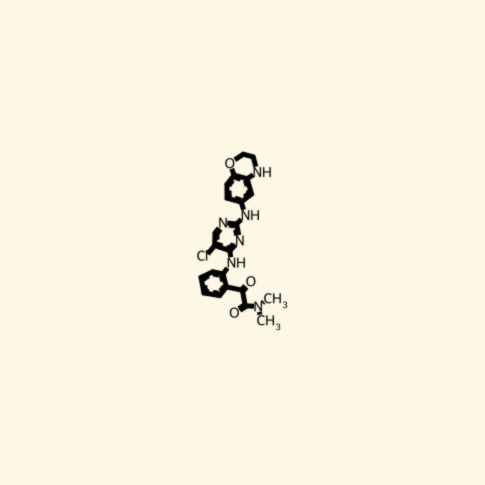 CN(C)C(=O)C(=O)c1ccccc1Nc1nc(Nc2ccc3c(c2)NCCO3)ncc1Cl